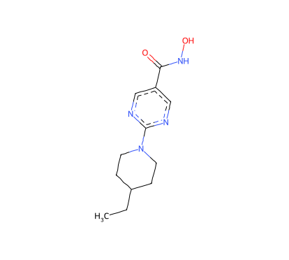 CCC1CCN(c2ncc(C(=O)NO)cn2)CC1